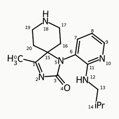 CC1=NC(=O)N(c2cccnc2NCC(C)C)C12CCNCC2